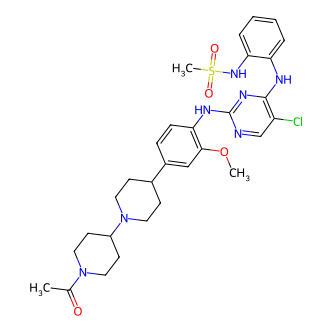 COc1cc(C2CCN(C3CCN(C(C)=O)CC3)CC2)ccc1Nc1ncc(Cl)c(Nc2ccccc2NS(C)(=O)=O)n1